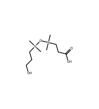 C[Si](C)(CCCO)O[Si](C)(C)CCC(=O)O